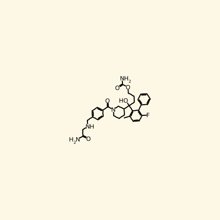 Cc1ccc(F)c(-c2ccccc2)c1C(O)(CCCOC(N)=O)C1CCCN(C(=O)c2ccc(CNCC(N)=O)cc2)C1